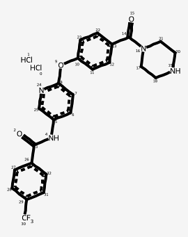 Cl.Cl.O=C(Nc1ccc(Oc2ccc(C(=O)N3CCNCC3)cc2)nc1)c1ccc(C(F)(F)F)cc1